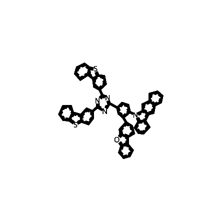 c1ccc2cc3c(cc2c1)c1ccccc1n3-c1ccc(-c2nc(-c3ccc4sc5ccccc5c4c3)nc(-c3ccc4sc5ccccc5c4c3)n2)cc1-c1ccc2c(c1)oc1ccccc12